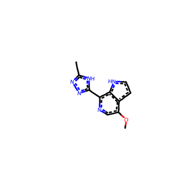 COc1cnc(-c2nnc(C)[nH]2)c2[nH]ccc12